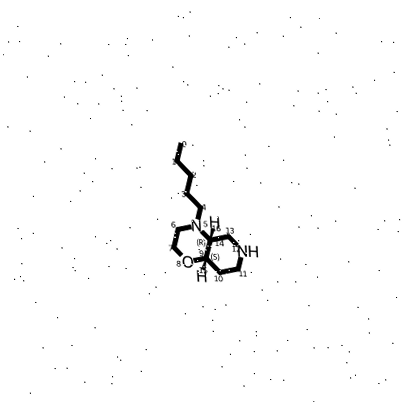 CCCCCN1CCO[C@H]2CCNC[C@H]21